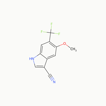 COc1cc2c(C#N)c[nH]c2cc1C(F)(F)F